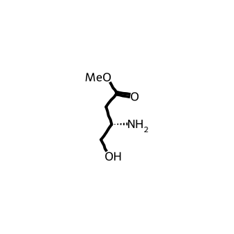 COC(=O)C[C@H](N)CO